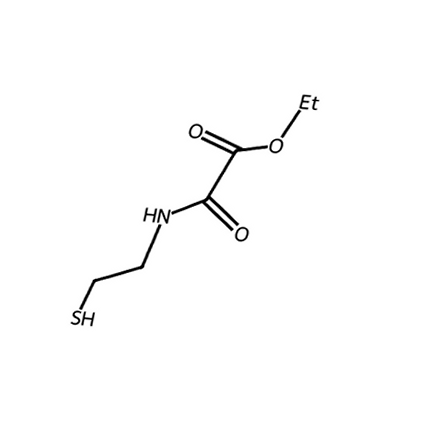 CCOC(=O)C(=O)NCCS